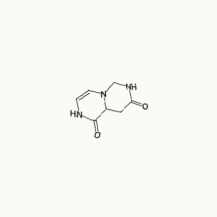 O=C1CC2C(=O)NC=CN2CN1